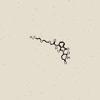 CCCOCCOCC(=O)Nc1cccc2c1C(=O)N(C1CCC(=O)NC1=O)C2=O